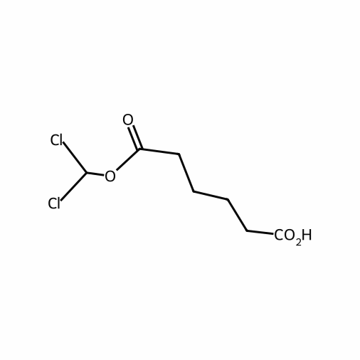 O=C(O)CCCCC(=O)OC(Cl)Cl